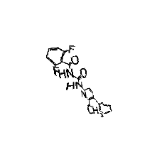 Cc1nc(NC(=O)NC(=O)c2c(F)cccc2F)ccc1-c1ccccc1